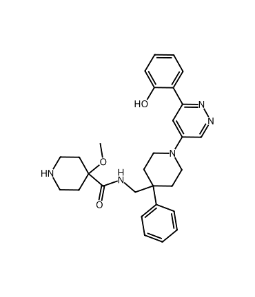 COC1(C(=O)NCC2(c3ccccc3)CCN(c3cnnc(-c4ccccc4O)c3)CC2)CCNCC1